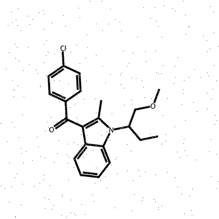 CCC(COC)n1c(C)c(C(=O)c2ccc(Cl)cc2)c2ccccc21